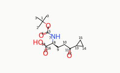 CC(C)(C)OC(=O)N[C@@H](CCC(=O)C1CC1)C(=O)O